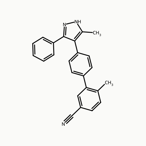 Cc1ccc(C#N)cc1-c1ccc(-c2c(-c3ccccc3)n[nH]c2C)cc1